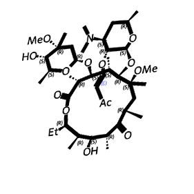 CC[C@H]1OC(=O)[C@H](C)[C@@H](O[C@H]2C[C@@](C)(OC)[C@@H](O)[C@H](C)O2)[C@H](C)[C@@H](O[C@@H]2O[C@H](C)C[C@H](N(C)C)[C@H]2O/C=C/C(C)=O)[C@@](C)(OC)C[C@@H](C)C(=O)[C@H](C)[C@@H](O)[C@H]1C